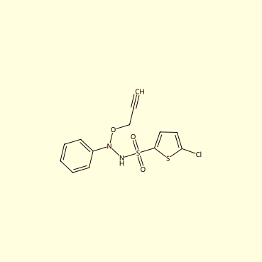 C#CCON(NS(=O)(=O)c1ccc(Cl)s1)c1ccccc1